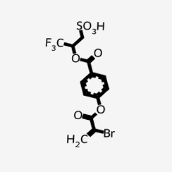 C=C(Br)C(=O)Oc1ccc(C(=O)OC(CS(=O)(=O)O)C(F)(F)F)cc1